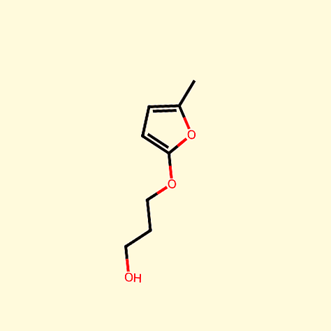 Cc1ccc(OCCCO)o1